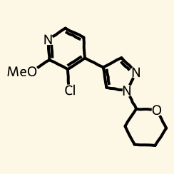 COc1nccc(-c2cnn(C3CCCCO3)c2)c1Cl